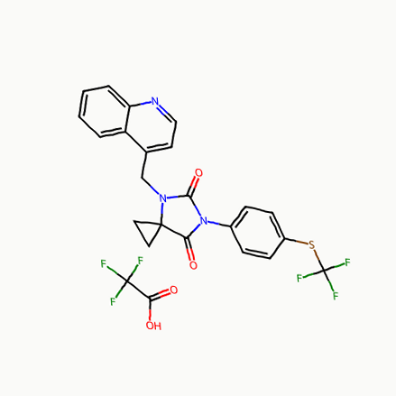 O=C(O)C(F)(F)F.O=C1N(c2ccc(SC(F)(F)F)cc2)C(=O)C2(CC2)N1Cc1ccnc2ccccc12